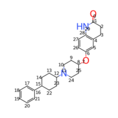 O=C1CCc2cc(OC3CCN(C4CCC(c5ccccc5)CC4)CC3)ccc2N1